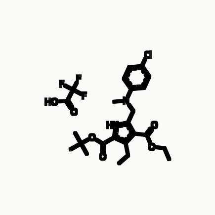 CCOC(=O)c1c(CN(C)c2ccc(Cl)cc2)[nH]c(C(=O)OC(C)(C)C)c1CC.O=C(O)C(F)(F)F